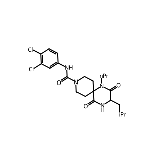 CCCN1C(=O)C(CC(C)C)NC(=O)C12CCN(C(=O)Nc1ccc(Cl)c(Cl)c1)CC2